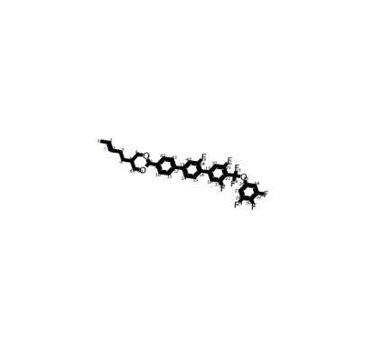 C/C=C/CCC1COC(c2ccc(-c3ccc(-c4cc(F)c(C(F)(F)Oc5cc(F)c(F)c(F)c5)c(F)c4)c(F)c3)cc2)OC1